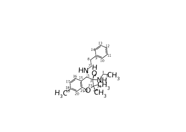 CCN[C@@]1(O)[C@@H](NCCc2ccccc2)c2ccc(C)cc2OC1(C)C